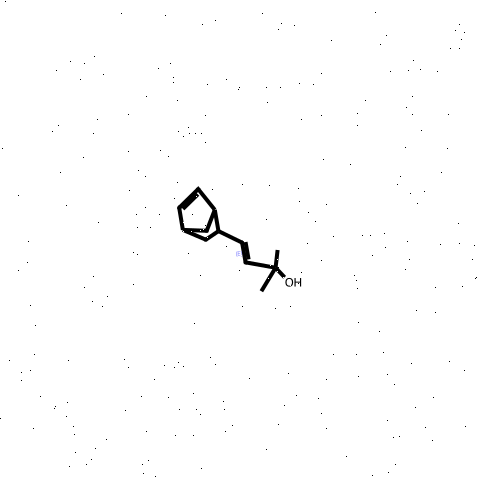 CC(C)(O)/C=C/C1CC2C=CC1C2